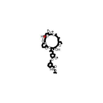 CCC1/C=C(\C)CC(C)CC(OC)C2OC(O)(C(=O)C(=O)N3CCCCC3C(=O)OC(C(C)=CC3CCC(OCc4cccc(C(=O)NOC(C)C)c4)C(OC)C3)C(C)C(O)CC1=O)C(C)CC2OC